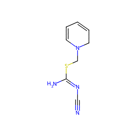 N#CN=C(N)SCN1C=CC=CC1